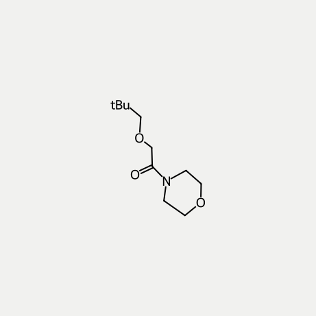 CC(C)(C)COCC(=O)N1CCOCC1